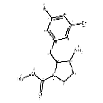 CC(C)(C)OC(=O)N1CCC(N)C1Cc1cc(F)cc(Br)c1